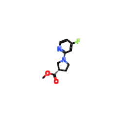 COC(=O)[C@H]1CCN(c2cc(F)ccn2)C1